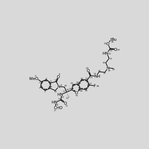 COc1ccc2c(c1)C(=O)N(C[C@](C)(NC(=O)NC=O)c1cc3cc(C(=O)NCCN(C)CCNC(=O)OC(C)(C)C)c(F)cc3o1)C2